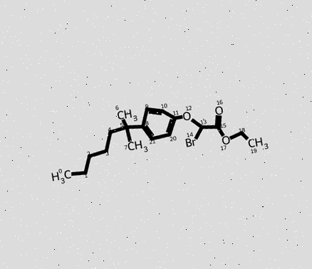 CCCCCC(C)(C)c1ccc(OC(Br)C(=O)OCC)cc1